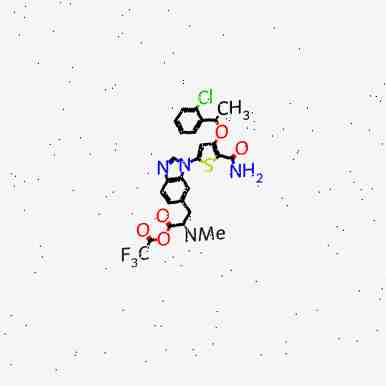 CN[C@@H](Cc1ccc2ncn(-c3cc(O[C@H](C)c4ccccc4Cl)c(C(N)=O)s3)c2c1)C(=O)OC(=O)C(F)(F)F